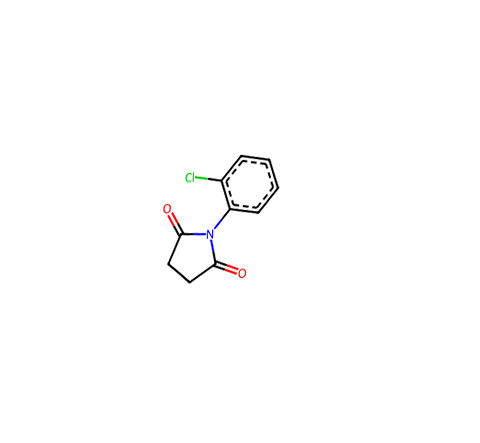 O=C1CCC(=O)N1c1ccccc1Cl